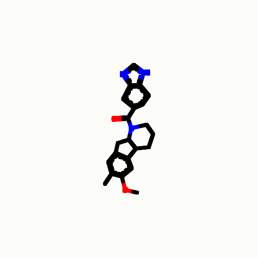 COc1cc2c(cc1C)CC1C2CCCN1C(=O)c1ccc2[nH]cnc2c1